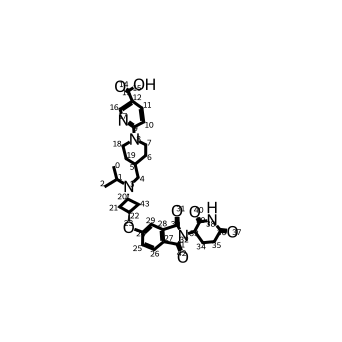 CC(C)N(CC1CCN(c2ccc(C(=O)O)cn2)CC1)[C@H]1C[C@H](Oc2ccc3c(c2)C(=O)N(C2CCC(=O)NC2=O)C3=O)C1